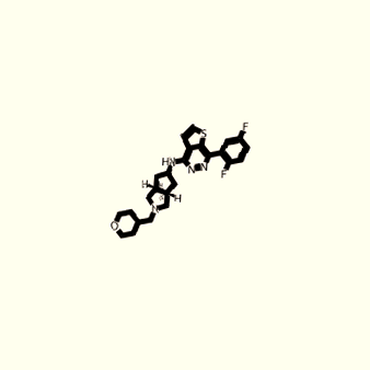 Fc1ccc(F)c(-c2nnc(NC3C[C@@H]4CN(CC5CCOCC5)C[C@@H]4C3)c3ccsc23)c1